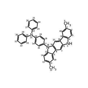 Cc1ccc2[nH]c3cc4c5cc(C)ccc5n(-c5ccc(N(c6ccccc6)c6ccccc6)cc5)c4cc3c2c1